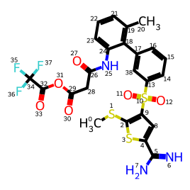 CSc1sc(C(=N)N)cc1S(=O)(=O)c1cccc(-c2c(C)cccc2NC(=O)CC(=O)OC(=O)C(F)(F)F)c1